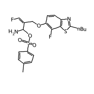 CCCCc1nc2ccc(OC/C(=C/F)C(N)OS(=O)(=O)c3ccc(C)cc3)c(F)c2s1